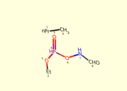 CCCC.CCO[PH](=O)ONC=O